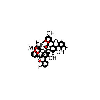 CNCC[C@]1(C(=O)[C@@]2(CCNC)C(F)=C(O)C(c3cccc(F)c3C)=C(C(=O)c3cccc(O)c3)[C@@H]2C2CCCNC2)C(F)=C(O)C(c2cccc(F)c2C)=C(C(=O)c2cccc(O)c2)[C@@H]1C1CCCNC1